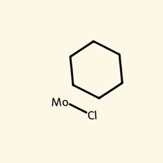 C1CCCCC1.[Cl][Mo]